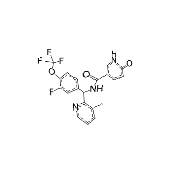 Cc1cccnc1C(NC(=O)c1ccc(=O)[nH]c1)c1ccc(OC(F)(F)F)c(F)c1